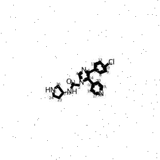 O=C(Cn1cnc(-c2ccc(Cl)cc2)c1-c1ccncc1)N[C@@H]1CCNC1